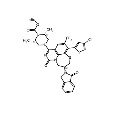 C[C@@H]1CN(c2nc(=O)n3c4c(c(-c5cc(Cl)cs5)c(C(F)(F)F)cc24)SC[C@@H](N2Cc4ccccc4C2=O)C3)C[C@H](C)N1C(=O)OC(C)(C)C